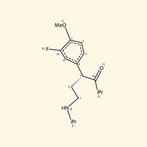 COc1ccc([C@@H](CCNC(C)C)C(=O)C(C)C)cc1F